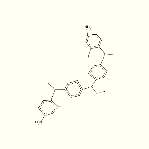 CCC(c1ccc(C(C)c2ccc(N)cc2C)cc1)c1ccc(C(C)c2ccc(N)cc2C)cc1